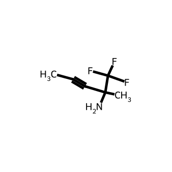 CC#CC(C)(N)C(F)(F)F